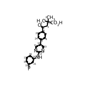 CC(C)(CC(=O)c1ccc(-c2cnc(Nc3cccc(F)c3)nc2)cc1)C(=O)O